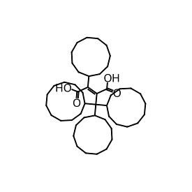 O=C(O)C(=C(C(=O)O)C(C1CCCCCCCCCC1)(C1CCCCCCCCCC1)C1CCCCCCCCCC1)C1CCCCCCCCCC1